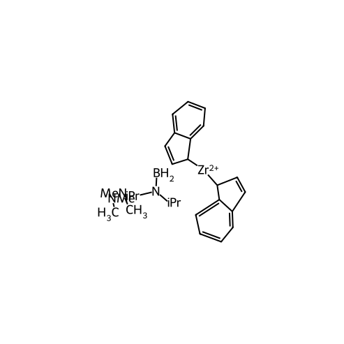 BN(C(C)C)C(C)C.C1=C[CH]([Zr+2][CH]2C=Cc3ccccc32)c2ccccc21.C[N-]C.C[N-]C